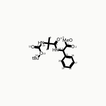 COC(=O)C(NC(=O)C(C)(C)NC(=O)OC(C)(C)C)c1ccccc1